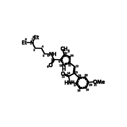 CCN(CC)CCCNC(=O)c1[nH]c(C=C2C(=O)Nc3ccc(OC)cc32)cc1C